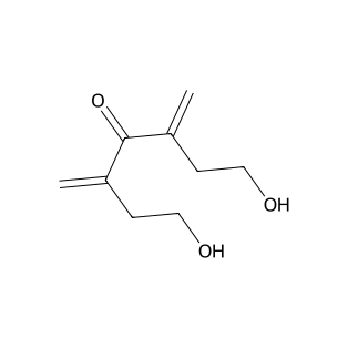 C=C(CCO)C(=O)C(=C)CCO